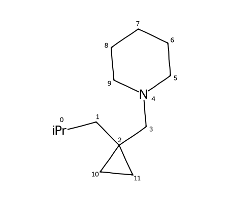 CC(C)CC1(CN2CCCCC2)CC1